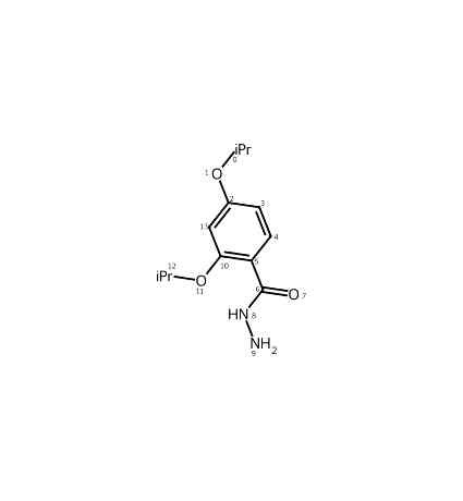 CC(C)Oc1ccc(C(=O)NN)c(OC(C)C)c1